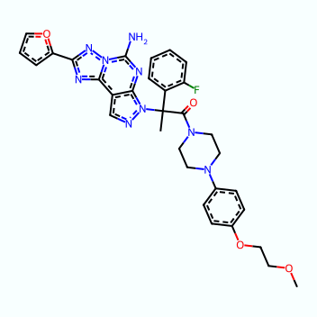 COCCOc1ccc(N2CCN(C(=O)C(C)(c3ccccc3F)n3ncc4c3nc(N)n3nc(-c5ccco5)nc43)CC2)cc1